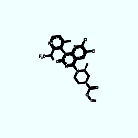 Cc1ccnc(C(C)C(F)(F)F)c1-n1c(=O)nc(N2CCN(C(=O)OC(C)(C)C)C[C@@H]2C)c2cc(Cl)c(Cl)nc21